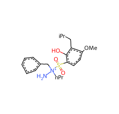 CCC[N+](N)(Cc1ccccc1)S(=O)(=O)c1ccc(OC)c(CC(C)C)c1O